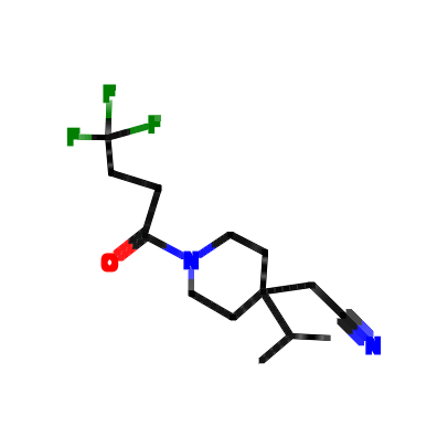 CC(C)C1(CC#N)CCN(C(=O)CCC(F)(F)F)CC1